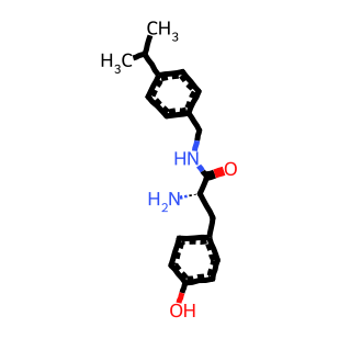 CC(C)c1ccc(CNC(=O)[C@@H](N)Cc2ccc(O)cc2)cc1